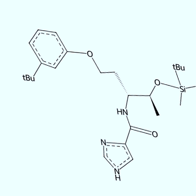 C[C@H](O[Si](C)(C)C(C)(C)C)[C@@H](CCOc1cccc(C(C)(C)C)c1)NC(=O)c1c[nH]cn1